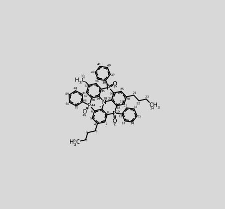 CCCCc1cc2c3c(c1)P(=O)(c1ccccc1)c1cc(CCCC)cc4c1N3c1c(cc(C)cc1P4(=O)c1ccccc1)P2(=O)c1ccccc1